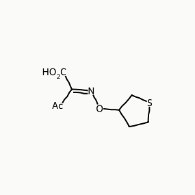 CC(=O)/C(=N\OC1CCSC1)C(=O)O